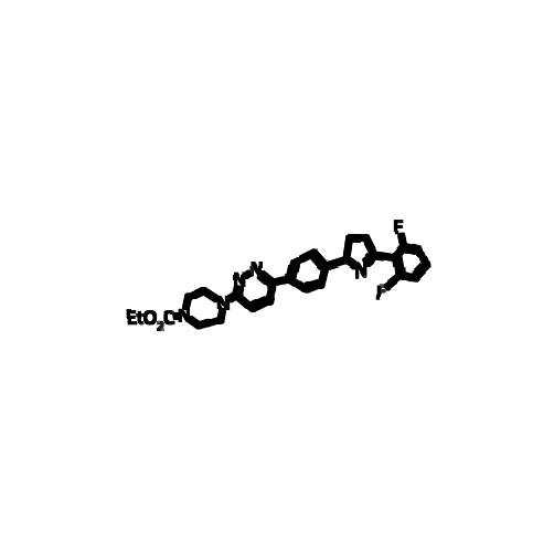 CCOC(=O)N1CCN(c2ccc(-c3ccc(C4CCC(c5c(F)cccc5F)=N4)cc3)nn2)CC1